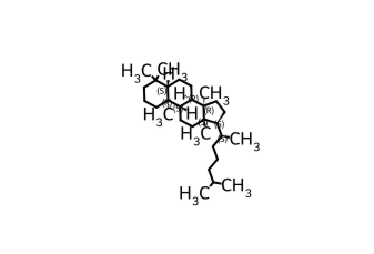 CC(C)CCC[C@H](C)[C@@H]1CC[C@]2(C)[C@@H]3CC[C@H]4C(C)(C)CCC[C@]4(C)[C@H]3CC[C@@]12C